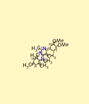 COc1ccc(-c2nc(C)nc(N(C)c3c(C)cc(C)cc3C)c2C)cc1OC